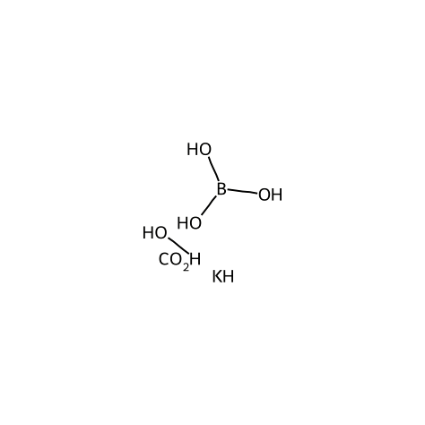 O=C(O)O.OB(O)O.[KH]